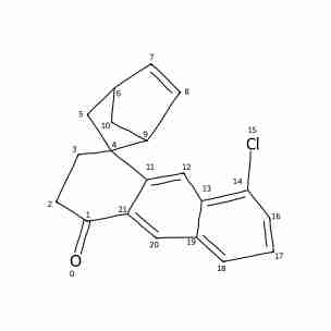 O=C1CCC2(CC3C=CC2C3)c2cc3c(Cl)cccc3cc21